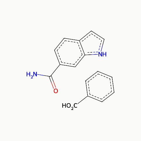 NC(=O)c1ccc2cc[nH]c2c1.O=C(O)c1ccccc1